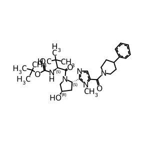 Cn1c(C(=O)N2CCC(c3ccccc3)CC2)cnc1[C@@H]1C[C@@H](O)CN1C(=O)[C@@H](NC(=O)OC(C)(C)C)C(C)(C)C